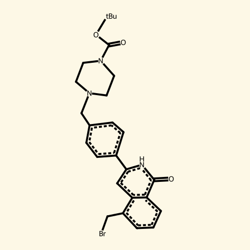 CC(C)(C)OC(=O)N1CCN(Cc2ccc(-c3cc4c(CBr)cccc4c(=O)[nH]3)cc2)CC1